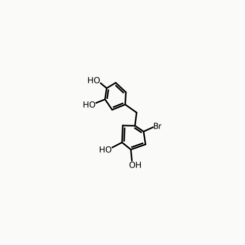 Oc1ccc(Cc2cc(O)c(O)cc2Br)cc1O